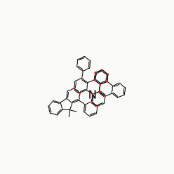 CC1(C)c2ccccc2-c2cccc(-c3ccccc3N(c3cccc(-c4ccccc4)c3-c3ccccc3-c3ccccc3)c3cc4ccccc4c4ccccc34)c21